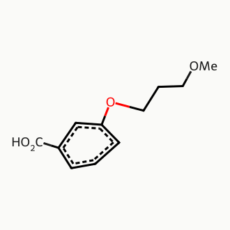 COCCCOc1cccc(C(=O)O)c1